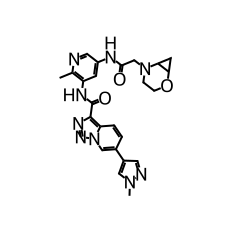 Cc1ncc(NC(=O)CN2CCOC3CC32)cc1NC(=O)c1nnn2cc(-c3cnn(C)c3)ccc12